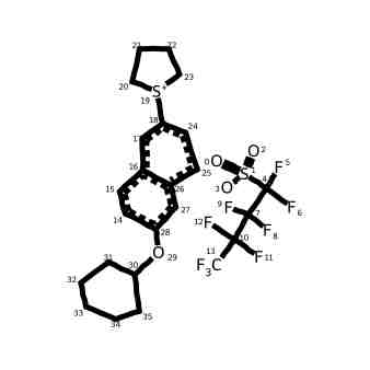 O=S(=O)([O-])C(F)(F)C(F)(F)C(F)(F)C(F)(F)F.c1cc2cc([S+]3CCCC3)ccc2cc1OC1CCCCC1